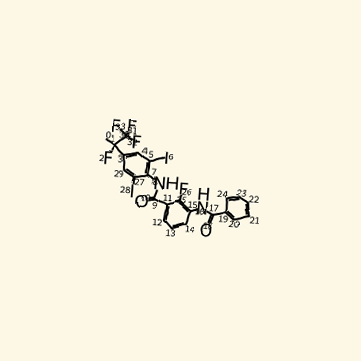 CC(F)(c1cc(I)c(NC(=O)c2cccc(NC(=O)c3ccccc3)c2F)c(I)c1)C(F)(F)F